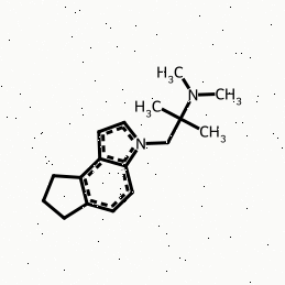 CN(C)C(C)(C)Cn1ccc2c3c(ccc21)CCC3